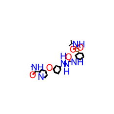 CNC(=O)c1cc(Oc2cccc(NNC(=O)Nc3cccc(S(=O)(=O)NC(C)C)c3)c2)ccn1